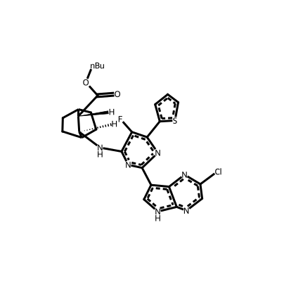 CCCCOC(=O)[C@H]1C2CCC(CC2)[C@@H]1Nc1nc(-c2c[nH]c3ncc(Cl)nc23)nc(-c2cccs2)c1F